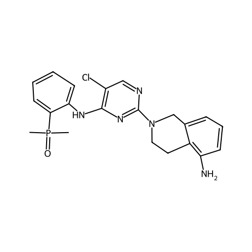 CP(C)(=O)c1ccccc1Nc1nc(N2CCc3c(N)cccc3C2)ncc1Cl